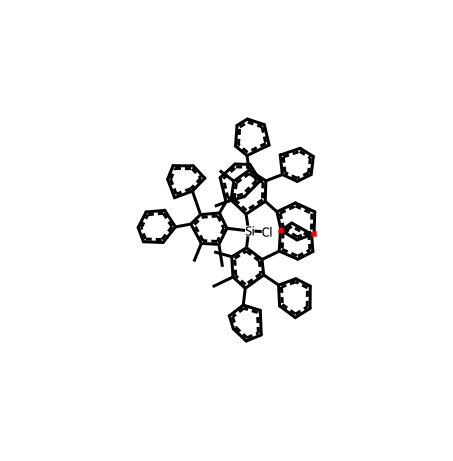 Cc1c(C)c([Si](Cl)(c2c(C)c(C)c(-c3ccccc3)c(-c3ccccc3)c2-c2ccccc2)c2c(C)c(C)c(-c3ccccc3)c(-c3ccccc3)c2-c2ccccc2)c(-c2ccccc2)c(-c2ccccc2)c1-c1ccccc1